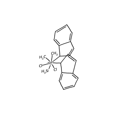 [CH3][Hf]([CH3])([SiH3])([Cl])([Cl])([CH]1C=Cc2ccccc21)[CH]1C=Cc2ccccc21